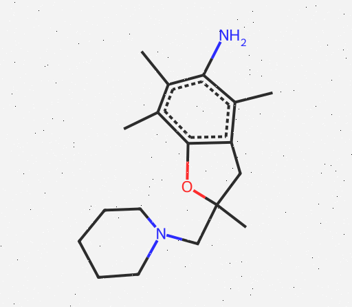 Cc1c(C)c2c(c(C)c1N)CC(C)(CN1CCCCC1)O2